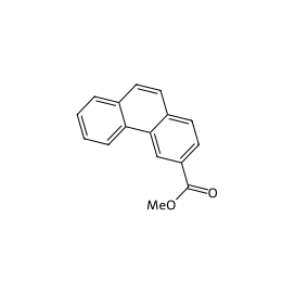 COC(=O)c1ccc2ccc3ccccc3c2c1